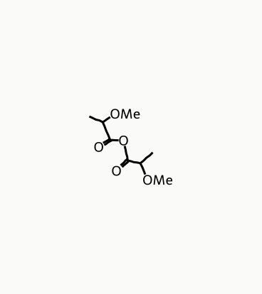 COC(C)C(=O)OC(=O)C(C)OC